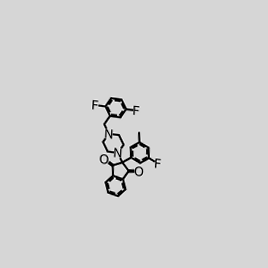 Cc1cc(F)cc(C2(N3CCN(Cc4cc(F)ccc4F)CC3)C(=O)c3ccccc3C2=O)c1